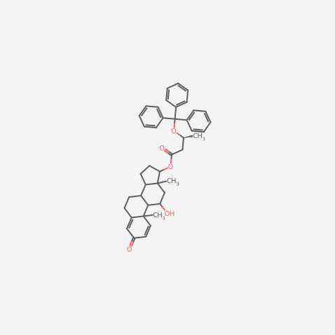 C[C@@H](CC(=O)OC1CCC2C3CCC4=CC(=O)C=CC4(C)C3C(O)CC12C)OC(c1ccccc1)(c1ccccc1)c1ccccc1